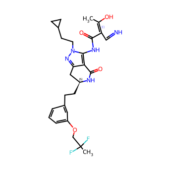 C/C(O)=C(/C=N)C(=O)Nc1c2c(nn1CCC1CC1)C[C@H](CCc1cccc(OCC(C)(F)F)c1)NC2=O